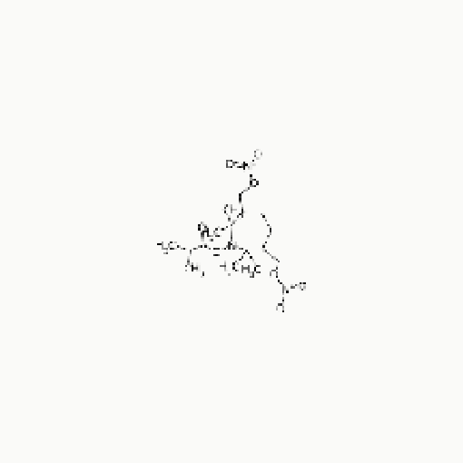 CC(C)C(=O)ON1C(C)(C)C(CO[N+](=O)[O-])CCC(CO[N+](=O)[O-])C1(C)C